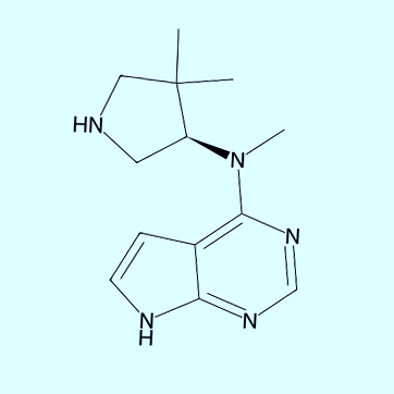 CN(c1ncnc2[nH]ccc12)[C@H]1CNCC1(C)C